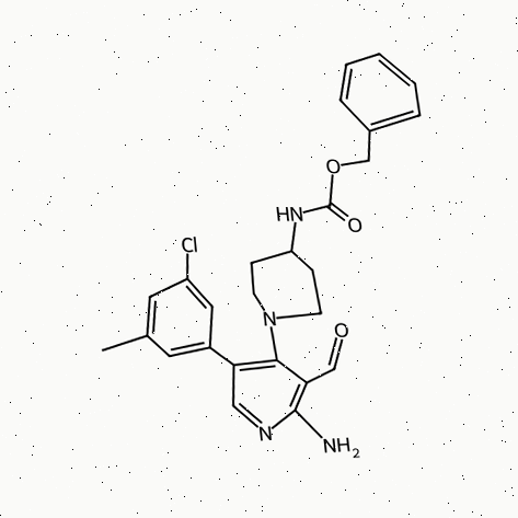 Cc1cc(Cl)cc(-c2cnc(N)c(C=O)c2N2CCC(NC(=O)OCc3ccccc3)CC2)c1